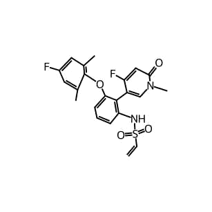 C=CS(=O)(=O)Nc1cccc(Oc2c(C)cc(F)cc2C)c1-c1cn(C)c(=O)cc1F